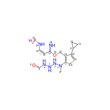 CN(NNNC=O)c1scc(C2CC2)c1COC(=N)/C=C\NP